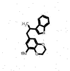 CC(Cc1cc2c(c(C(C)(C)C)c1)OCCO2)c1csc2ccccc12